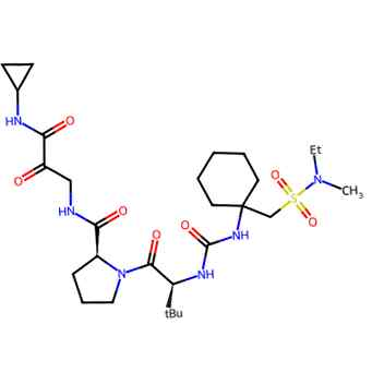 CCN(C)S(=O)(=O)CC1(NC(=O)N[C@H](C(=O)N2CCC[C@H]2C(=O)NCC(=O)C(=O)NC2CC2)C(C)(C)C)CCCCC1